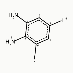 Nc1cc(I)cc(I)c1N